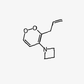 C=CCC1=C(N2CCC2)C=COO1